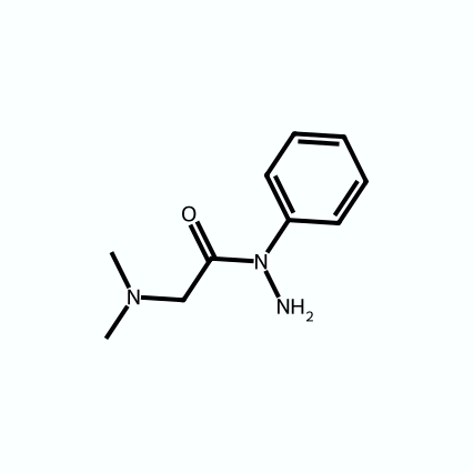 CN(C)CC(=O)N(N)c1ccccc1